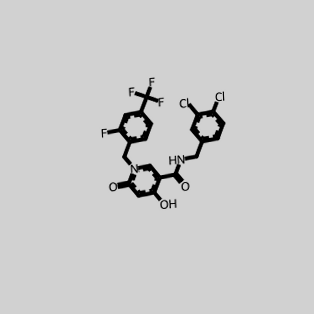 O=C(NCc1ccc(Cl)c(Cl)c1)c1cn(Cc2ccc(C(F)(F)F)cc2F)c(=O)cc1O